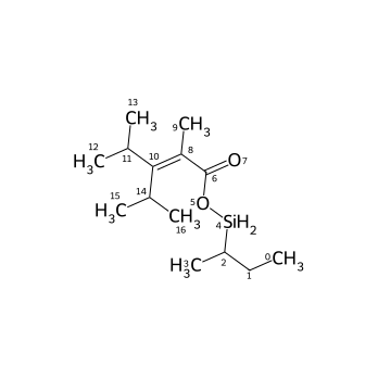 CCC(C)[SiH2]OC(=O)C(C)=C(C(C)C)C(C)C